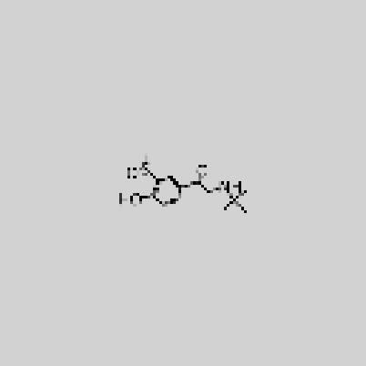 C[S+]([O-])c1cc(C(=O)CNC(C)(C)C)ccc1O